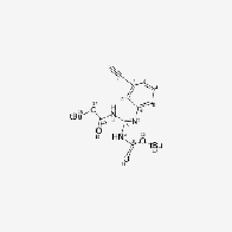 C#Cc1cccc(N=C(NC(=O)OC(C)(C)C)NC(=O)OC(C)(C)C)c1